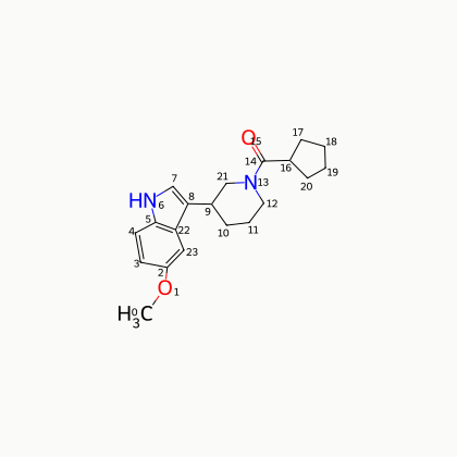 COc1ccc2[nH]cc(C3CCCN(C(=O)C4CCCC4)C3)c2c1